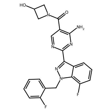 Nc1nc(-c2nn(Cc3ccccc3F)c3c(F)cccc23)ncc1C(=O)N1CC(O)C1